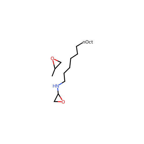 CC1CO1.CCCCCCCCCCCCCCNC1CO1